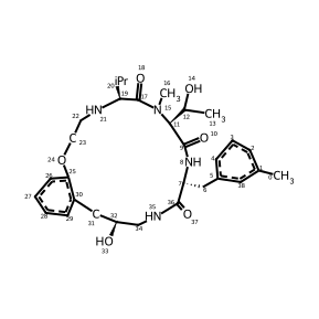 Cc1cccc(C[C@H]2NC(=O)[C@H](C(C)O)N(C)C(=O)[C@H](C(C)C)NCCOc3ccccc3C[C@H](O)CNC2=O)c1